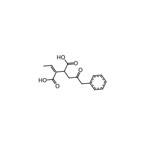 CC=C(C(=O)O)C(CC(=O)Cc1ccccc1)C(=O)O